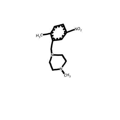 Cc1ccc([N+](=O)[O-])cc1CN1CCN(C)CC1